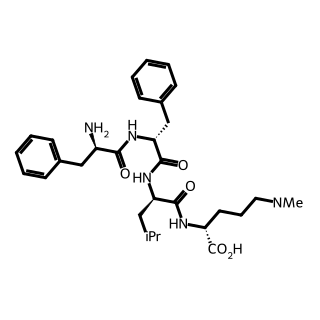 CNCCC[C@@H](NC(=O)[C@@H](CC(C)C)NC(=O)[C@@H](Cc1ccccc1)NC(=O)[C@H](N)Cc1ccccc1)C(=O)O